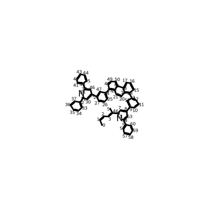 C/C=C\C=C(/C)c1cc(-c2cccc(-c3cccc4c3ccc3c(-c5cccc(-c6cc(-c7ccccc7)nc(-c7ccccc7)c6)c5)cccc34)c2)cc(-c2ccccc2)n1